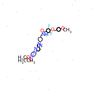 COc1ccc(COc2c(F)cc(C(=O)NCC3CCC(n4cc5nc(N6CCN(C(=O)OC(C)(C)C)CC6)ccc5n4)CC3)c(F)c2F)cc1